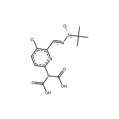 CC(C)(C)[S@@+]([O-])/N=C/c1nc(N(C(=O)O)C(=O)O)ccc1Cl